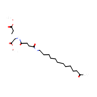 CCCCOC(=O)CC[C@H](NC(=O)CCC(=O)NCCCCCCCCCCCC(=O)NC)C(=O)OCCCC